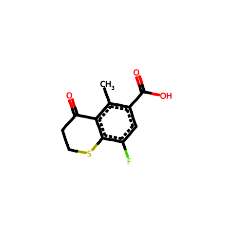 Cc1c(C(=O)O)cc(F)c2c1C(=O)CCS2